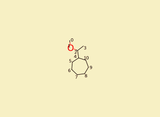 COC(C)C1CCCCCC1